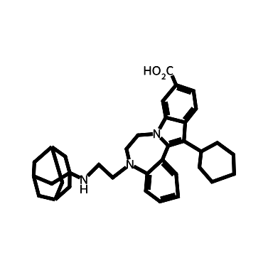 O=C(O)c1ccc2c(C3CCCCC3)c3n(c2c1)CCN(CCNC12CC4CC(CC(C4)C1)C2)c1ccccc1-3